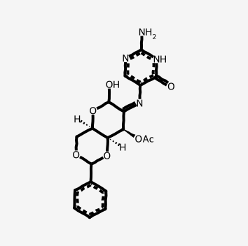 CC(=O)O[C@@H]1/C(=N/c2cnc(N)[nH]c2=O)C(O)O[C@@H]2COC(c3ccccc3)O[C@H]12